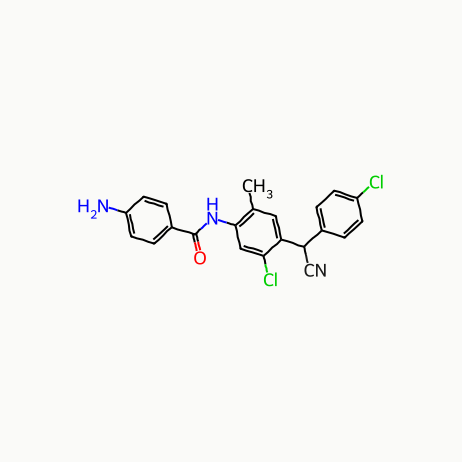 Cc1cc(C(C#N)c2ccc(Cl)cc2)c(Cl)cc1NC(=O)c1ccc(N)cc1